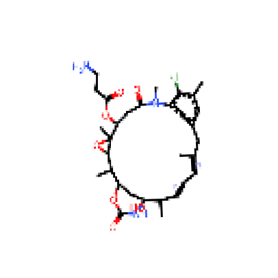 C/C1=C\C=C\C(C)C2(O)CC(OC(=O)N2)C(C)C2OC2(C)C(OC(=O)CCN)CC(=O)N(C)c2cc(cc(C)c2Cl)C1